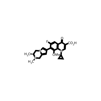 COc1c(-c2cc3n(c2)C[C@H](C)N(C)C3)c(F)cc2c(=O)c(C(=O)O)cn(C3CC3)c12